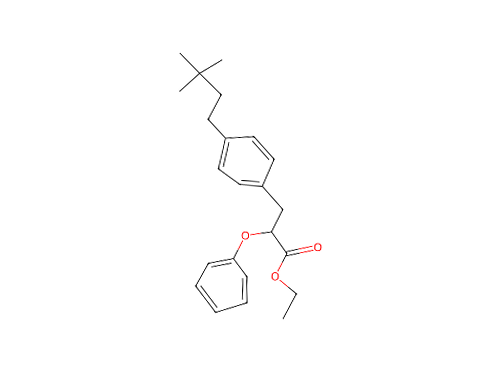 CCOC(=O)C(Cc1ccc(CCC(C)(C)C)cc1)Oc1ccccc1